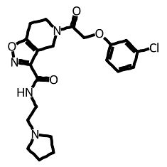 O=C(NCCN1CCCC1)c1noc2c1CN(C(=O)COc1cccc(Cl)c1)CC2